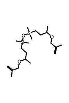 C=C(C)COC(C)CC[Si](C)(C)O[Si](C)(C)CCC(C)OCC(=C)C